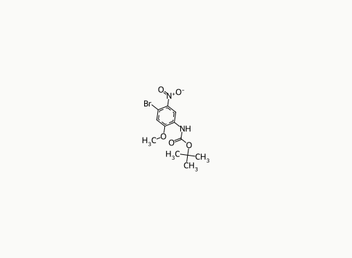 COc1cc(Br)c([N+](=O)[O-])cc1NC(=O)OC(C)(C)C